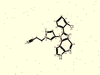 N#CCCn1cc(-n2c(-c3ccccc3Cl)nc3cnc4[nH]ccc4c32)cn1